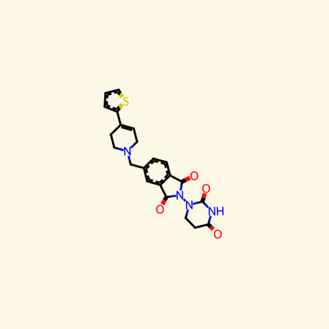 O=C1CCN(N2C(=O)c3ccc(CN4CC=C(c5cccs5)CC4)cc3C2=O)C(=O)N1